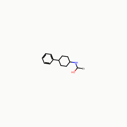 CCC(O)NC1CCC(c2ccccc2)CC1